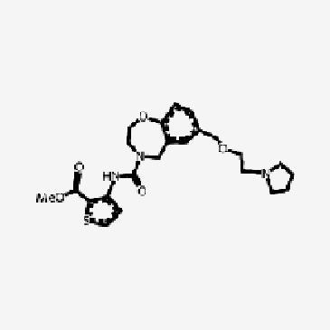 COC(=O)c1sccc1NC(=O)N1CCOc2ccc(COCCN3CCCC3)cc2C1